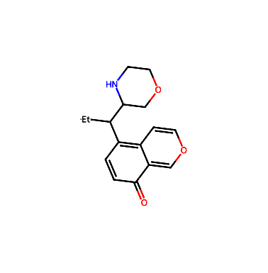 C[CH]C(c1ccc(=O)c2coccc1-2)C1COCCN1